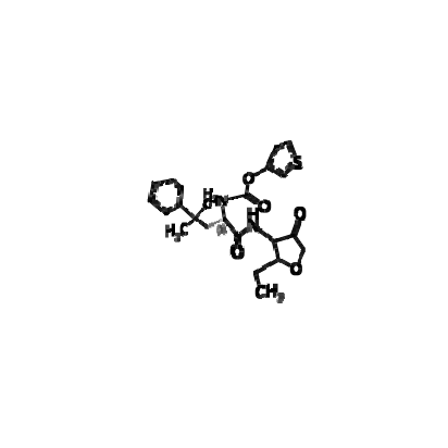 CCC1OCC(=O)C1NC(=O)[C@H](CC(C)(C)c1ccccc1)NC(=O)Oc1ccsc1